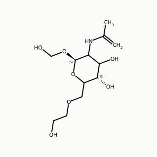 C=C(C)NC1C(O)[C@H](O)C(COCCO)O[C@H]1OCO